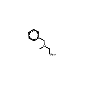 CCCCCC[N+](F)Cc1ccccc1